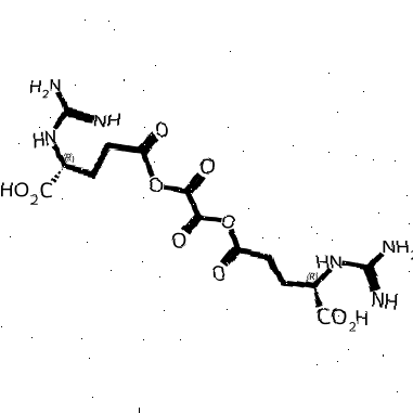 N=C(N)N[C@H](CCC(=O)OC(=O)C(=O)OC(=O)CC[C@@H](NC(=N)N)C(=O)O)C(=O)O